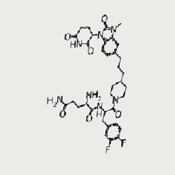 Cn1c(=O)n(C2CCC(=O)NC2=O)c2ccc(CCCC3CCN(C(=O)C(Cc4ccc(F)c(F)c4)NC(=O)C(N)CCC(N)=O)CC3)cc21